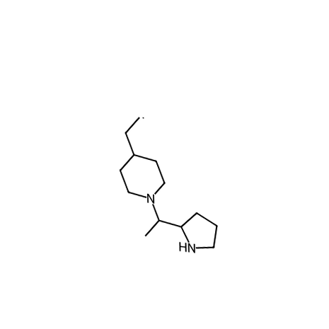 [CH2]CC1CCN(C(C)C2CCCN2)CC1